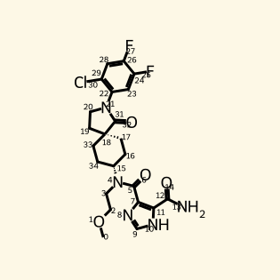 COCCN(C(=O)c1nc[nH]c1C(N)=O)[C@H]1CC[C@@]2(CCN(c3cc(F)c(F)cc3Cl)C2=O)CC1